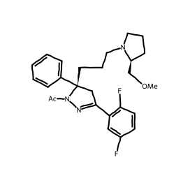 COC[C@@H]1CCCN1CCC[C@@]1(c2ccccc2)CC(c2cc(F)ccc2F)=NN1C(C)=O